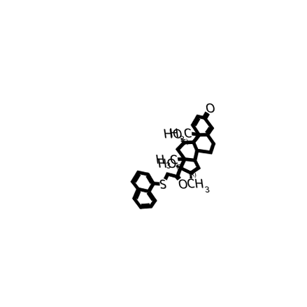 C[C@@H]1CC2C3CCC4=CC(=O)C=CC4(C)C3[C@@H](O)CC2(C)[C@@]1(O)C(=O)CSc1cccc2ccccc12